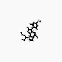 CCCC(CC)n1ccc2c(C)nc3c(-c4c(C)cc(OC)cc4C)c(C)nn3c21